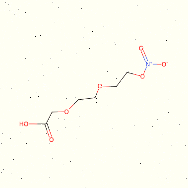 O=C(O)COCCOCCO[N+](=O)[O-]